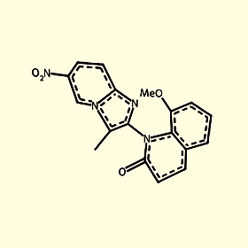 COc1cccc2ccc(=O)n(-c3nc4ccc([N+](=O)[O-])cn4c3C)c12